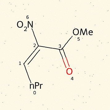 CCCC=C(C(=O)OC)[N+](=O)[O-]